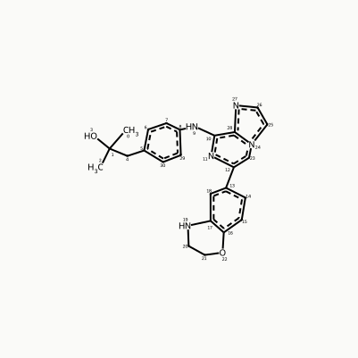 CC(C)(O)Cc1ccc(Nc2nc(-c3ccc4c(c3)NCCO4)cn3ccnc23)cc1